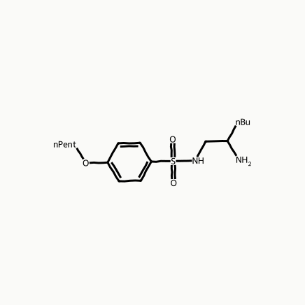 CCCCCOc1ccc(S(=O)(=O)NCC(N)CCCC)cc1